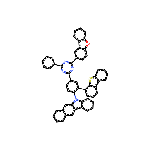 c1ccc(-c2nc(-c3ccc(-n4c5ccccc5c5cc6ccccc6cc54)c(-c4cccc5c4sc4ccccc45)c3)nc(-c3ccc4oc5ccccc5c4c3)n2)cc1